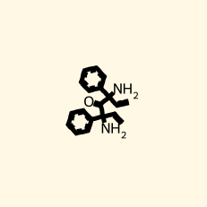 C=CC(N)(C(=O)C(N)(C=C)c1ccccc1)c1ccccc1